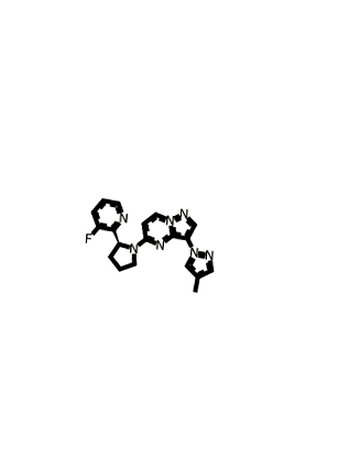 Cc1cnn(-c2cnn3ccc(N4CCC[C@H]4c4ncccc4F)nc23)c1